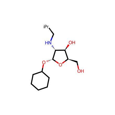 CC(C)CN[C@H]1[C@@H](OC2CCCCC2)O[C@H](CO)[C@@H]1O